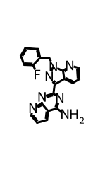 Nc1nc(-c2nn(Cc3ccccc3F)c3ncccc23)nc2ncccc12